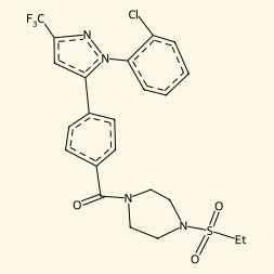 CCS(=O)(=O)N1CCN(C(=O)c2ccc(-c3cc(C(F)(F)F)nn3-c3ccccc3Cl)cc2)CC1